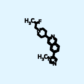 CC(F)CN1CCC(c2cc3cc(-c4cncn4C)ccc3cn2)CC1